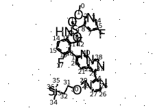 COc1ncc(F)cc1S(=O)(=O)Nc1ccc(F)c(-c2ccc3c(-c4nccn4COCC[Si](C)(C)C)ncn3n2)c1F